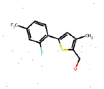 Cc1cc(-c2ccc(C(F)(F)F)cc2F)sc1C[O]